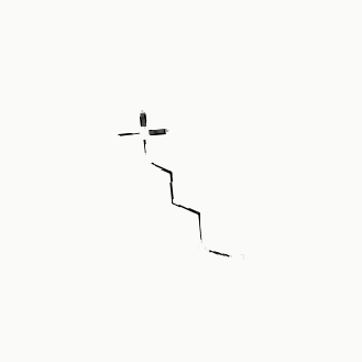 CC(C)OCCCOS(C)(=O)=O